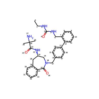 CCNC(=O)NCc1ccccc1-c1ccc(CN2C[C@H](NC(=O)C(C)(C)N)Cc3ccccc3C2=O)cc1